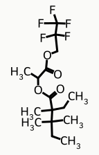 CCC(C)(C)C(C)(CC)C(=O)OC(C)C(=O)OCC(F)(F)C(F)(F)F